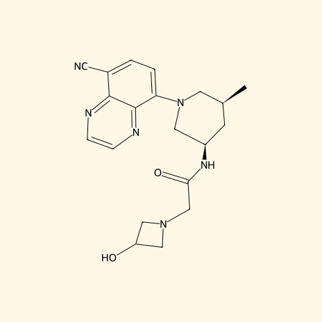 C[C@H]1C[C@@H](NC(=O)CN2CC(O)C2)CN(c2ccc(C#N)c3nccnc23)C1